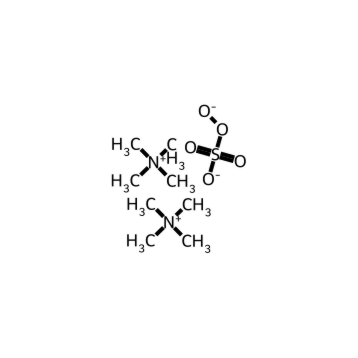 C[N+](C)(C)C.C[N+](C)(C)C.O=S(=O)([O-])O[O-]